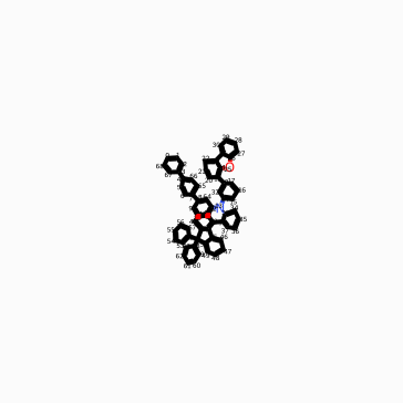 c1ccc(-c2ccc(-c3cccc(N(c4cccc(-c5cccc6c5oc5ccccc56)c4)c4ccccc4-c4cccc5c4-c4ccccc4C5(c4ccccc4)c4ccccc4)c3)cc2)cc1